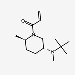 C=CC(=O)N1C[C@H](N(C)C(C)(C)C)CC[C@H]1C